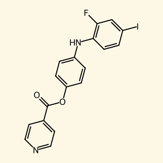 O=C(Oc1ccc(Nc2ccc(I)cc2F)cc1)c1ccncc1